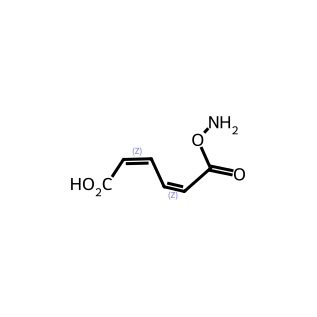 NOC(=O)/C=C\C=C/C(=O)O